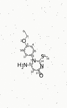 CCOc1ccc(-n2c(N)cc(=O)nc2SC)cc1